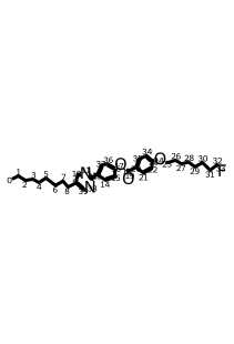 CCCCCCCCCc1cnc(-c2ccc(OC(=O)c3ccc(OCCCCCCCCF)cc3)cc2)nc1